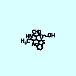 CC(=O)C1=C(C)NC(C)=C(C(=O)OCCO)C1c1csc2ccccc12